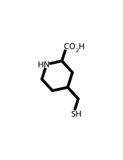 O=C(O)C1CC(CS)CCN1